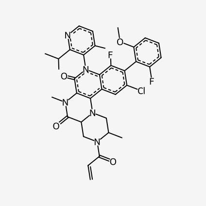 C=CC(=O)N1CC2C(=O)N(C)c3c(c4cc(Cl)c(-c5c(F)cccc5OC)c(F)c4n(-c4c(C)ccnc4C(C)C)c3=O)N2CC1C